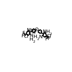 Nc1cc(C(F)(F)Cl)cc(N)c1-c1ccc(Oc2ccc(-c3c(N)cc(C(F)(F)Cl)cc3N)cc2)cc1